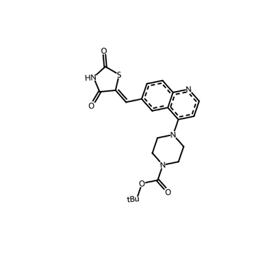 CC(C)(C)OC(=O)N1CCN(c2ccnc3ccc(/C=C4\SC(=O)NC4=O)cc23)CC1